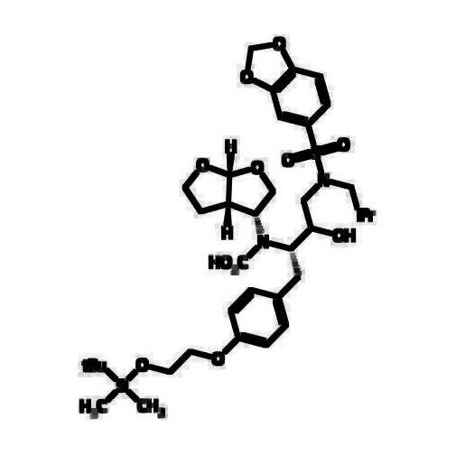 CC(C)CN(CC(O)[C@H](Cc1ccc(OCCO[Si](C)(C)C(C)(C)C)cc1)N(C(=O)O)[C@H]1CO[C@H]2OCC[C@H]21)S(=O)(=O)c1ccc2c(c1)OCO2